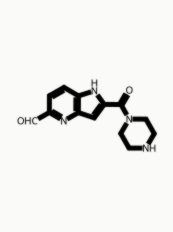 O=Cc1ccc2[nH]c(C(=O)N3CCNCC3)cc2n1